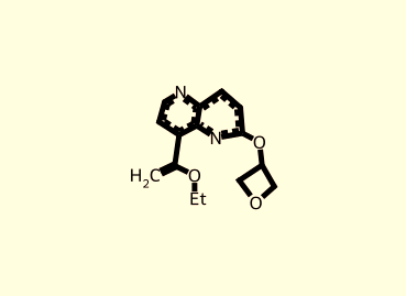 C=C(OCC)c1ccnc2ccc(OC3COC3)nc12